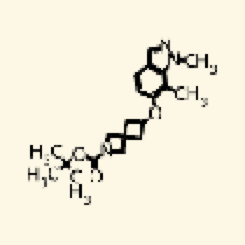 Cc1c(OC2CC3(C2)CN(C(=O)OC(C)(C)C)C3)ccc2cnn(C)c12